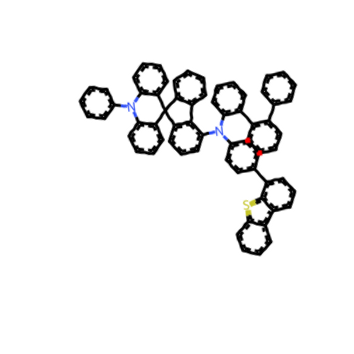 c1ccc(-c2ccccc2-c2ccccc2N(c2ccc(-c3cccc4c3sc3ccccc34)cc2)c2cccc3c2-c2ccccc2C32c3ccccc3N(c3ccccc3)c3ccccc32)cc1